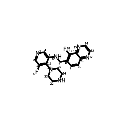 Fc1cncc(NCc2ccc3nccnc3c2F)c1N1CCNCC1